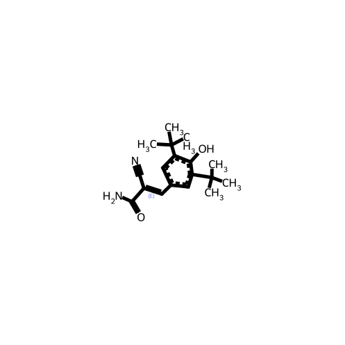 CC(C)(C)c1cc(/C=C(\C#N)C(N)=O)cc(C(C)(C)C)c1O